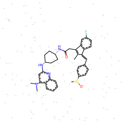 CC1=C(CC(=O)N[C@H]2CC[C@@H](Nc3cc(N(C)C)c4ccccc4n3)CC2)c2cc(F)ccc2C1=Cc1ccc([S+](C)[O-])cc1